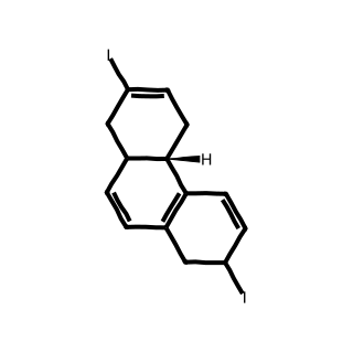 IC1=CC[C@@H]2C3=C(C=CC2C1)CC(I)C=C3